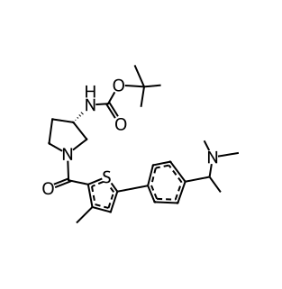 Cc1cc(-c2ccc(C(C)N(C)C)cc2)sc1C(=O)N1CC[C@H](NC(=O)OC(C)(C)C)C1